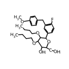 CCCCOC1C(c2ccc(F)c(Cc3ccc(OC)cc3)c2)OC(CO)C(O)C1OCCCC